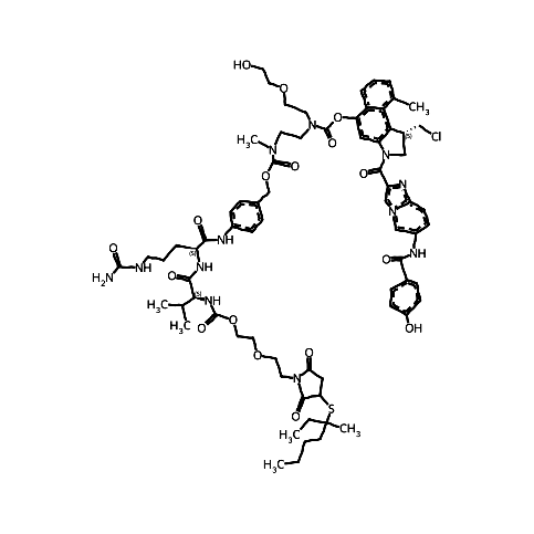 CCCCC(C)(CC)SC1CC(=O)N(CCOCCOC(=O)N[C@H](C(=O)N[C@@H](CCCNC(N)=O)C(=O)Nc2ccc(COC(=O)N(C)CCN(CCOCCO)C(=O)Oc3cc4c(c5c(C)cccc35)[C@H](CCl)CN4C(=O)c3cn4cc(NC(=O)c5ccc(O)cc5)ccc4n3)cc2)C(C)C)C1=O